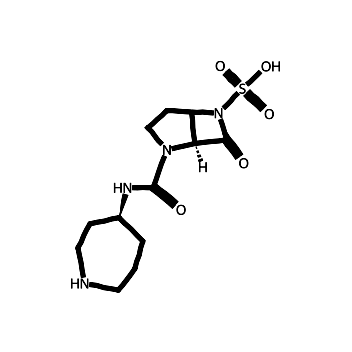 O=C(N[C@H]1CCCNCC1)N1CCC2[C@H]1C(=O)N2S(=O)(=O)O